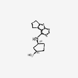 O=C(O)[C@@H]1CC[C@H](Nc2ncnc3sc4c(c23)CCC4)C1